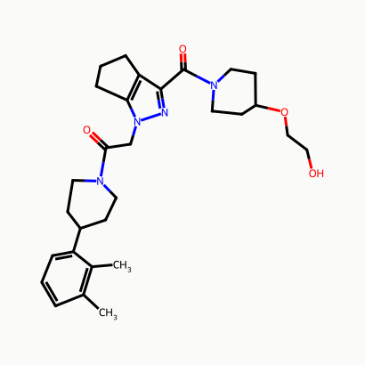 Cc1cccc(C2CCN(C(=O)Cn3nc(C(=O)N4CCC(OCCO)CC4)c4c3CCC4)CC2)c1C